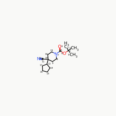 CC(C)(C)OC(=O)N1CCC(C#N)(C2CCCC2)CC1